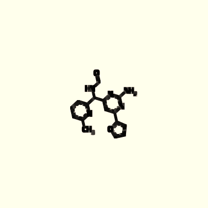 Cc1cccc(C(NC=O)c2cc(-c3ccco3)nc(N)n2)n1